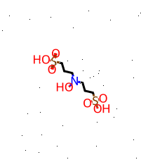 O=S(=O)(O)CCCN(O)CCCS(=O)(=O)O